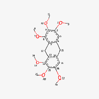 COc1cc2c(c(OC)c1OC)Cc1c(cc(OC)c(OC)c1OC)C2